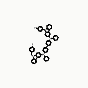 Fc1ccc(Cn2c3ccccc3c3cc(N(c4ccccc4)c4ccc(-c5ccc(N(C6=CCCC=C6)c6ccc7c(c6)c6c(n7-c7ccc(F)cc7)C=CCC6)cc5)cc4)ccc32)cc1